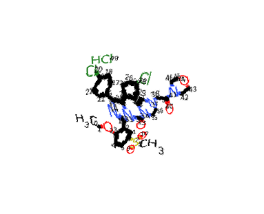 CCOc1ccc(S(C)(=O)=O)cc1C1=NC(c2ccc(Cl)cc2)C(c2ccc(Cl)cc2)N1C(=O)N1CCN(CC(=O)N2CCOCC2)CC1.Cl